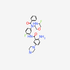 CN1CCN(c2ccc(N)c(C(=O)Nc3cc(N(C(=O)c4ccccc4)C4COCC(F)N4)ccc3F)c2)CC1